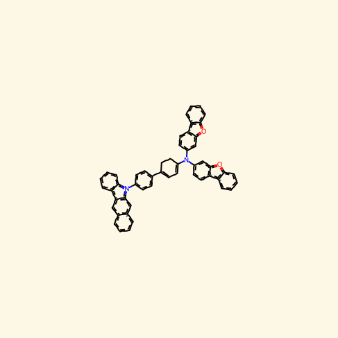 C1=C(c2ccc(-n3c4ccccc4c4cc5ccccc5cc43)cc2)CCC(N(c2ccc3c(c2)oc2ccccc23)c2ccc3c(c2)oc2ccccc23)=C1